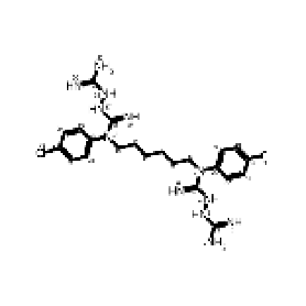 N=C(N)NNC(=N)N(CCCCCCN(C(=N)NNC(=N)N)c1ccc(Cl)cc1)c1ccc(Cl)cc1